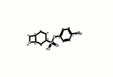 CCC(C)c1ccc(OS(=O)(=O)C2CCC3COC3C2)cc1